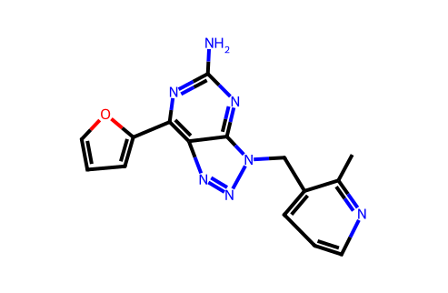 Cc1ncccc1Cn1nnc2c(-c3ccco3)nc(N)nc21